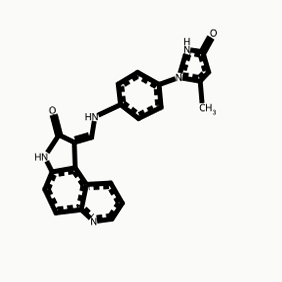 Cc1cc(=O)[nH]n1-c1ccc(N/C=C2\C(=O)Nc3ccc4ncccc4c32)cc1